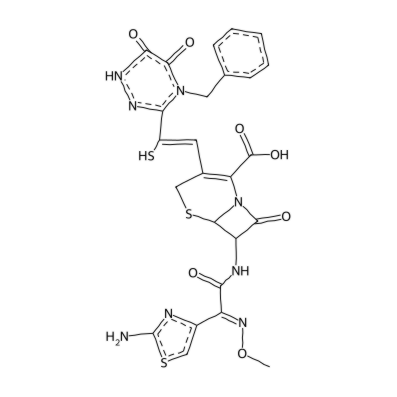 CON=C(C(=O)NC1C(=O)N2C(C(=O)O)=C(C=C(S)c3n[nH]c(=O)c(=O)n3Cc3ccccc3)CSC12)c1csc(N)n1